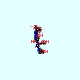 Cc1cc(N=Nc2ccc3c(S(=O)(=O)O)c(N=Nc4cnn(-c5cc(S(=O)(=O)O)cc(S(=O)(=O)O)c5)c4O)ccc3c2O)c(OCCCS(=O)(=O)O)cc1N=Nc1nc2cccc(S(=O)(=O)O)c2s1